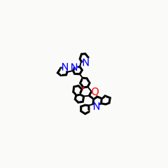 c1ccc(-c2nc3ccccc3c3oc(-c4ccc(-c5cc(-c6ccccn6)nc(-c6ccccn6)c5)cc4)c(-c4cccc5ccccc45)c23)cc1